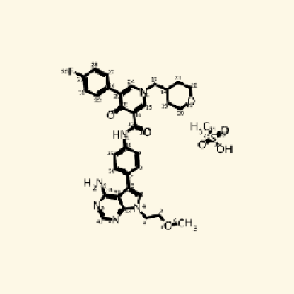 COCCn1cc(-c2ccc(NC(=O)c3cn(CC4CCOCC4)cc(-c4ccc(F)cc4)c3=O)cc2)c2c(N)ncnc21.CS(=O)(=O)O